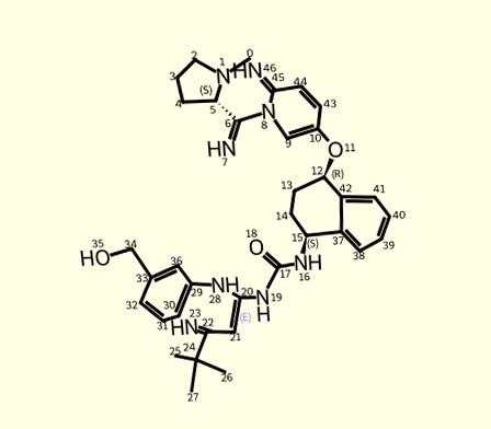 CN1CCC[C@H]1C(=N)n1cc(O[C@@H]2CC[C@H](NC(=O)N/C(=C/C(=N)C(C)(C)C)Nc3cccc(CO)c3)c3ccccc32)ccc1=N